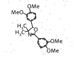 COc1ccc(C2=NC(C)(C)C(c3ccc(OC)c(OC)c3)O2)cc1OC